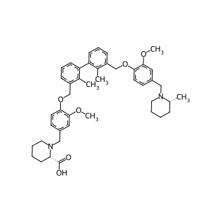 COc1cc(CN2CCCC[C@H]2C)ccc1OCc1cccc(-c2cccc(COc3ccc(CN4CCCC[C@H]4C(=O)O)cc3OC)c2C)c1C